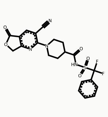 N#Cc1cc2c(nc1N1CCC(C(=O)NS(=O)(=O)C(F)(F)c3ccccc3)CC1)COC2=O